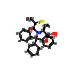 CC(S)C(=O)N([C@@H](C)C(=O)O)C(c1ccccc1)(c1ccccc1)c1ccccc1